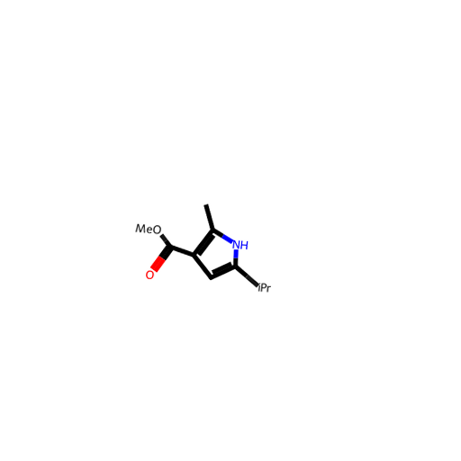 COC(=O)c1cc(C(C)C)[nH]c1C